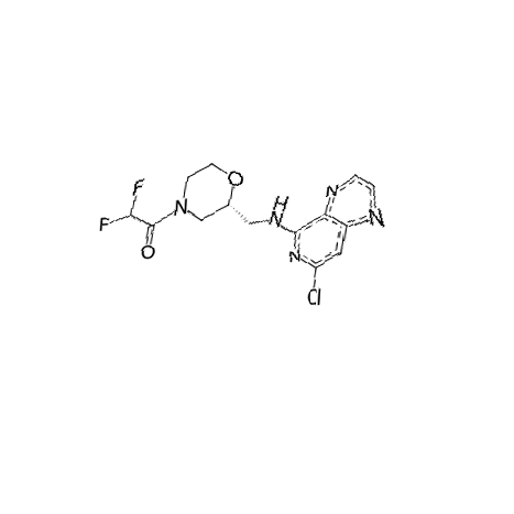 O=C(C(F)F)N1CCO[C@H](CNc2nc(Cl)cc3nccnc23)C1